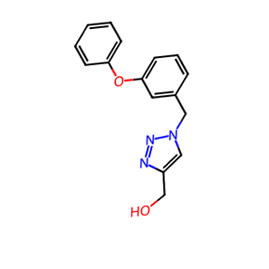 OCc1cn(Cc2cccc(Oc3ccccc3)c2)nn1